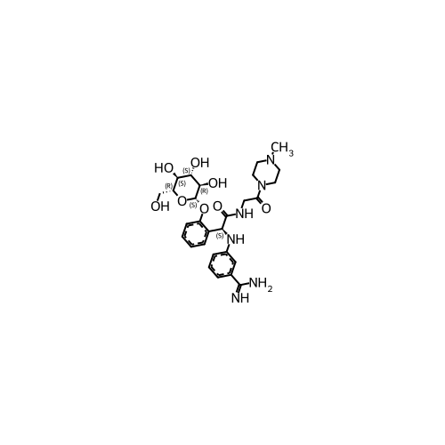 CN1CCN(C(=O)CNC(=O)[C@@H](Nc2cccc(C(=N)N)c2)c2ccccc2O[C@@H]2O[C@H](CO)[C@@H](O)[C@H](O)[C@H]2O)CC1